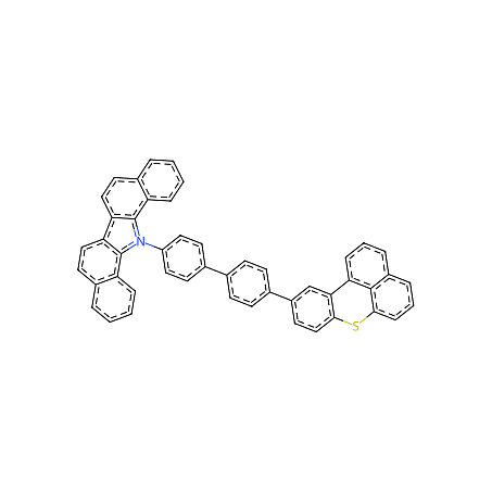 c1cc2c3c(cccc3c1)-c1cc(-c3ccc(-c4ccc(-n5c6c7ccccc7ccc6c6ccc7ccccc7c65)cc4)cc3)ccc1S2